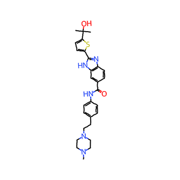 CN1CCN(CCc2ccc(NC(=O)c3ccc4nc(-c5ccc(C(C)(C)O)s5)[nH]c4c3)cc2)CC1